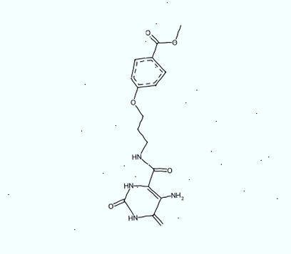 C=C1NC(=O)NC(C(=O)NCCCOc2ccc(C(=O)OC)cc2)=C1N